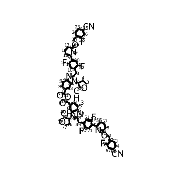 C[C@H]1OCC[C@H]1n1c(Cc2cc(F)c(-c3cccc(OCc4ccc(C#N)cc4F)n3)cc2F)nc2ccc(C(=O)OC(=O)c3ccc4nc(Cc5cc(F)c(-c6cccc(OCc7ccc(C#N)cc7F)n6)cc5F)n([C@@H]5CCO[C@@H]5C)c4c3)cc21